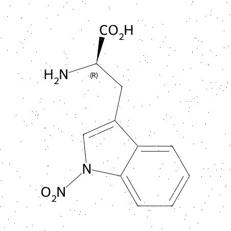 N[C@H](Cc1cn([N+](=O)[O-])c2ccccc12)C(=O)O